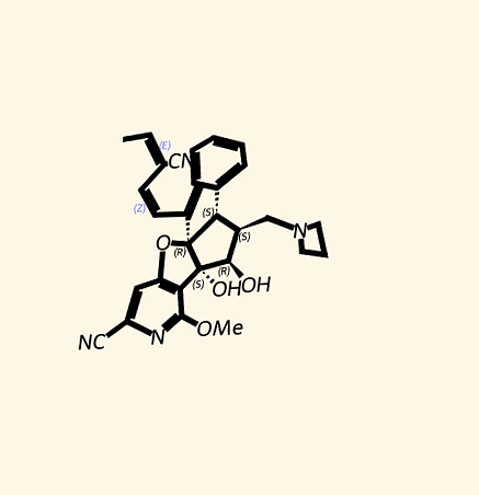 C=C(/C=C\C(C#N)=C/C)[C@@]12Oc3cc(C#N)nc(OC)c3[C@]1(O)[C@H](O)[C@H](CN1CCC1)[C@H]2c1ccccc1